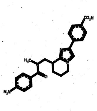 CN(CC1CCCn2cc(-c3ccc(C(=O)O)cc3)nc21)C(=O)c1ccc(N)cc1